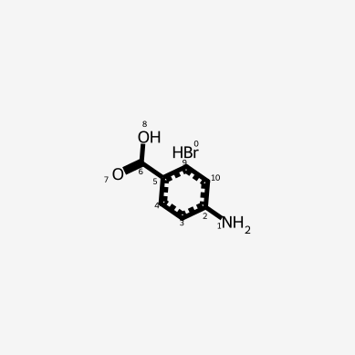 Br.Nc1ccc(C(=O)O)cc1